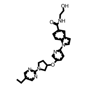 CCc1cnc(N2CCC(Oc3ccc(-n4ccc5cc(C(=O)NCCO)ccc54)nc3)C2)nc1